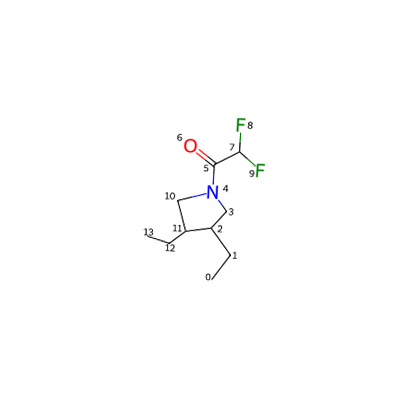 CCC1CN(C(=O)C(F)F)CC1CC